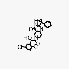 O=C(C(O)c1cc(Cl)ccc1Cl)N1CCc2nc(C3(c4ccccc4)CC3)[nH]c(=O)c2C1